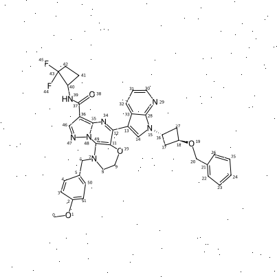 COc1ccc(CN2CCOc3c(-c4cn([C@H]5C[C@H](OCc6ccccc6)C5)c5ncccc45)nc4c(C(=O)NC5CCC5(F)F)cnn4c32)cc1